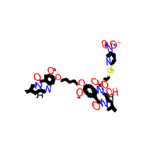 C=C1C[C@H]2C=Nc3cc(OCCCCCOc4cc5c(cc4OC)C(=O)N4CC(=C)C[C@H]4[C@H](O)N5C(=O)OCCSSc4ccc([N+](=O)[O-])cn4)c(OC)cc3C(=O)N2C1